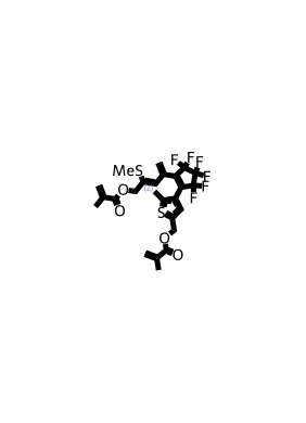 C=C(C)C(=O)OC/C(=C/C(=C)C1=C(c2cc(COC(=O)C(=C)C)sc2C)C(F)(F)C(F)(F)C1(F)F)SC